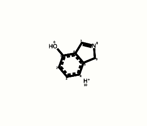 Oc1cccc2c1C=NC2.[H+]